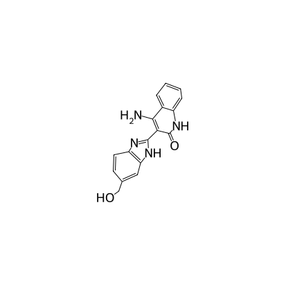 Nc1c(-c2nc3ccc(CO)cc3[nH]2)c(=O)[nH]c2ccccc12